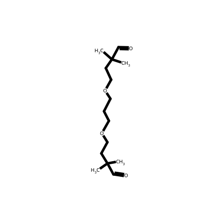 CC(C)(C=O)CCOCCCOCCC(C)(C)C=O